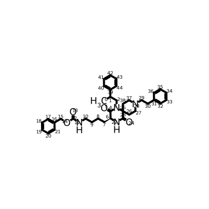 CC(CN1C(=O)[C@H](CCCCNC(=O)OCc2ccccc2)NC(=O)C12CCN(CCc1ccccc1)CC2)c1ccccc1